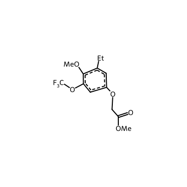 CCc1cc(OCC(=O)OC)cc(OC(F)(F)F)c1OC